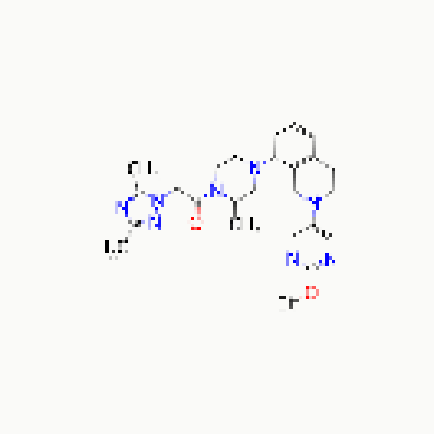 CCOc1ncc(N2CCc3cccc(N4CCN(C(=O)Cn5nc(C)nc5C)C(C)C4)c3C2)cn1